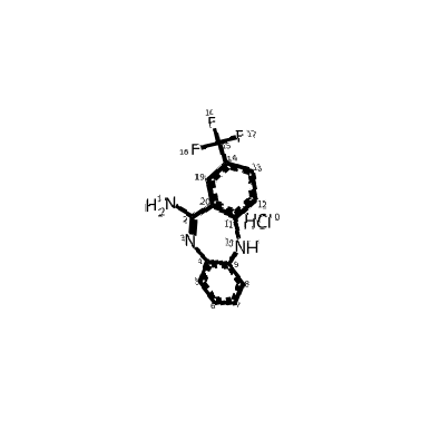 Cl.NC1=Nc2ccccc2Nc2ccc(C(F)(F)F)cc21